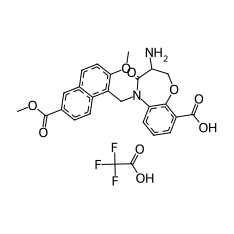 COC(=O)c1ccc2c(CN3C(=O)C(N)COc4c(C(=O)O)cccc43)c(OC)ccc2c1.O=C(O)C(F)(F)F